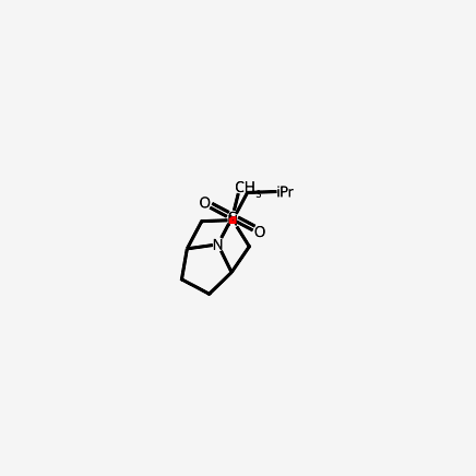 CC(C)CN1CC2CCC(C1)N2S(C)(=O)=O